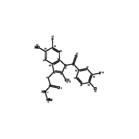 CCCCNC(=O)Cc1c(C)n(C(=O)c2ccc(Cl)c(F)c2)c2cc(F)c(O)cc12